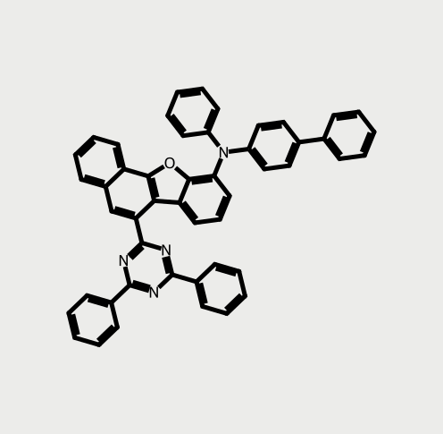 c1ccc(-c2ccc(N(c3ccccc3)c3cccc4c3oc3c5ccccc5cc(-c5nc(-c6ccccc6)nc(-c6ccccc6)n5)c43)cc2)cc1